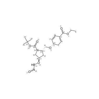 CCOC(=O)C1=CC[C@H](OC[C@@H]2C[C@@H](OBN=O)CN2C(=O)OC(C)(C)C)C=C1